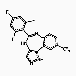 Fc1cc(F)c(C2=Nc3ccc(C(F)(F)F)cc3-c3[nH]ncc3N2)c(F)c1